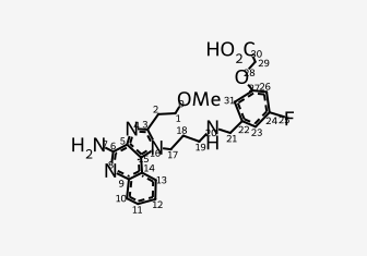 COCCc1nc2c(N)nc3ccccc3c2n1CCCNCc1cc(F)cc(OCC(=O)O)c1